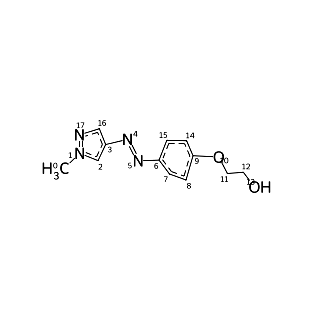 Cn1cc(N=Nc2ccc(OCCO)cc2)cn1